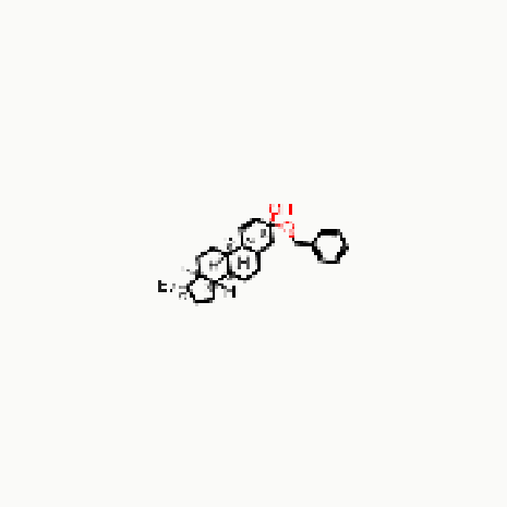 CC[C@H]1CC[C@H]2[C@@H]3CCC4C[C@@](O)(OCc5ccccc5)C=C[C@]4(C)[C@H]3CC[C@]12C